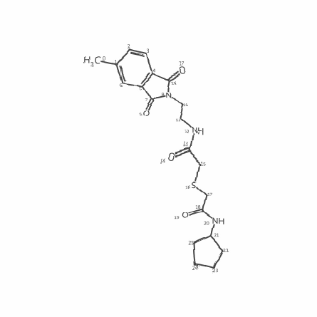 Cc1ccc2c(c1)C(=O)N(CCNC(=O)CSCC(=O)NC1CCCC1)C2=O